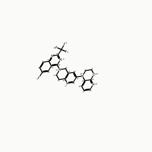 Fc1ccc2nc(C(F)(F)F)nc(N3CCc4ncc(N5CCOc6ncccc65)cc4C3)c2c1